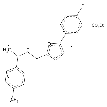 CCOC(=O)c1cc(-c2ccc(CNC(C)c3ccc(C)cc3)o2)ccc1F